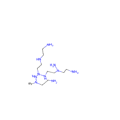 CC(C)N(CCN)NN(CCNCCN)NCCN(N)CCN